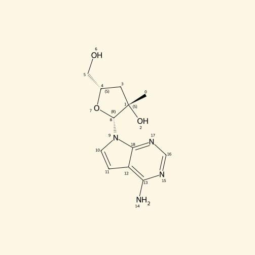 C[C@]1(O)C[C@@H](CO)O[C@H]1n1ccc2c(N)ncnc21